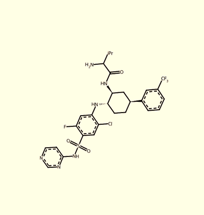 CC(C)C(N)C(=O)N[C@H]1C[C@@H](c2cccc(C(F)(F)F)c2)CC[C@@H]1Nc1cc(F)c(S(=O)(=O)Nc2ccncn2)cc1Cl